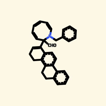 O=CC1(C2=CCCc3c2ccc2c3CCc3ccccc3-2)C=CC=CC=CN1Cc1ccccc1